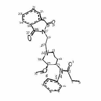 CCC(=O)N(c1ccccc1)[C@@H]1CCN(CCN2C(=O)c3ccccc3C2=O)C[C@@H]1OC